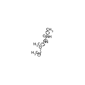 Cc1ccc(NC(=O)c2cnn(C3=CC(C)C(OCCCN4CCCC4C)C=C3)c2)cc1